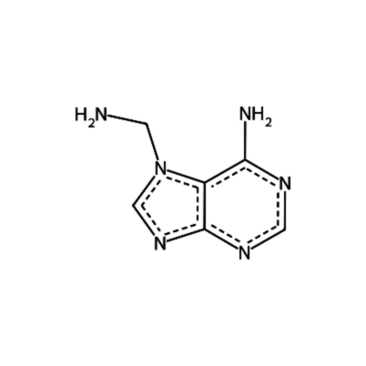 NCn1cnc2ncnc(N)c21